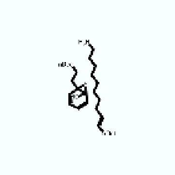 CCCCCCCCC=CCCCCCCCCN.CCCCCCCCCCCCC12C=CC=CC1(O)S2